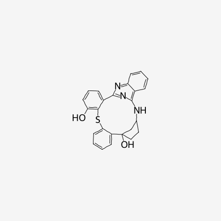 Oc1cccc2c1Sc1ccccc1C1(O)CCC(C1)Nc1nc-2nc2ccccc12